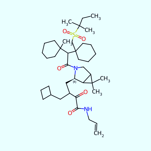 C=CCNC(=O)C(=O)C(CC1CCC1)C[C@@H]1C2C(CN1C(=O)C(C1(C)CCCCC1)C1(CS(=O)(=O)C(C)(C)CC)CCCCC1)C2(C)C